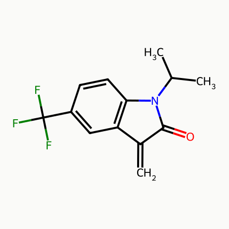 C=C1C(=O)N(C(C)C)c2ccc(C(F)(F)F)cc21